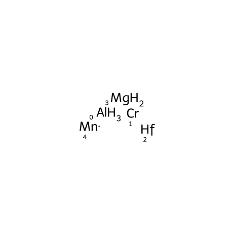 [AlH3].[Cr].[Hf].[MgH2].[Mn]